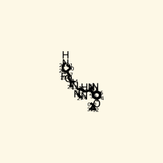 CC1(Oc2ccc3n[nH]c(-c4cc(N5CC(OCC6(F)CCNCC6)C5)ncn4)c3c2)CC1